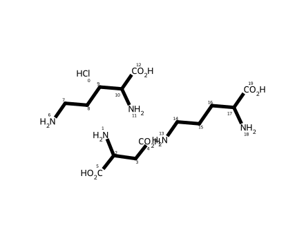 Cl.NC(CC(=O)O)C(=O)O.NCCCC(N)C(=O)O.NCCCC(N)C(=O)O